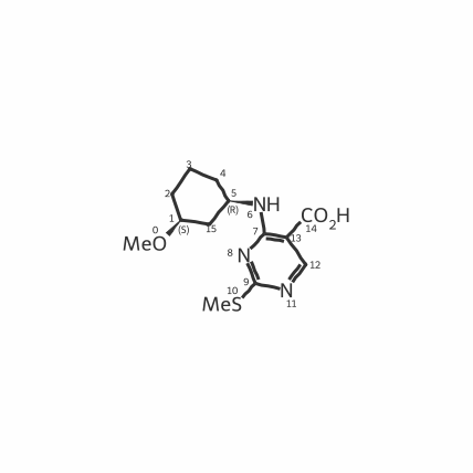 CO[C@H]1CCC[C@@H](Nc2nc(SC)ncc2C(=O)O)C1